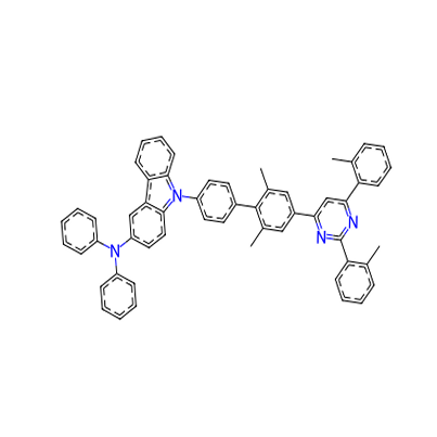 Cc1ccccc1-c1cc(-c2cc(C)c(-c3ccc(-n4c5ccccc5c5cc(N(c6ccccc6)c6ccccc6)ccc54)cc3)c(C)c2)nc(-c2ccccc2C)n1